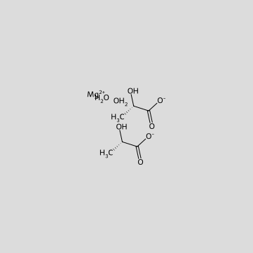 C[C@H](O)C(=O)[O-].C[C@H](O)C(=O)[O-].O.O.[Mg+2]